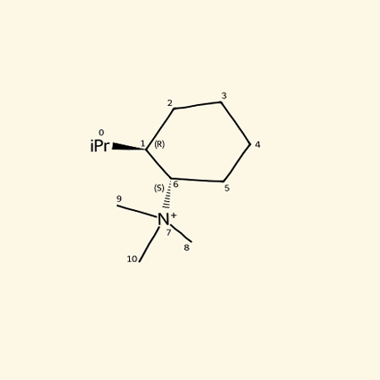 CC(C)[C@H]1CCCC[C@@H]1[N+](C)(C)C